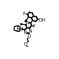 C#Cc1c(F)ccc2cc(O)cc(-c3nc(C#C)c4c(N5CC6CCC(C5)N6)nc(OCCOC)nc4c3F)c12